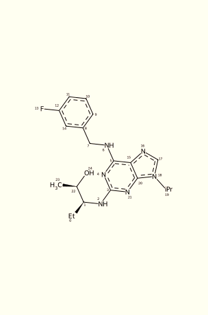 CC[C@H](Nc1nc(NCc2cccc(F)c2)c2ncn(C(C)C)c2n1)[C@@H](C)O